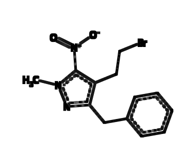 Cn1nc(Cc2ccccc2)c(CCBr)c1[N+](=O)[O-]